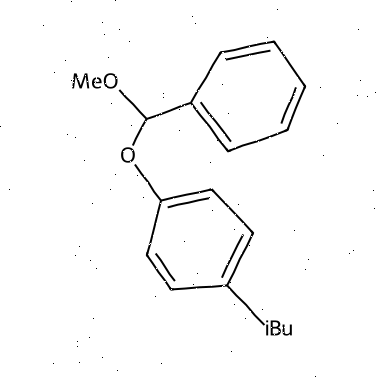 CCC(C)c1ccc(OC(OC)c2ccccc2)cc1